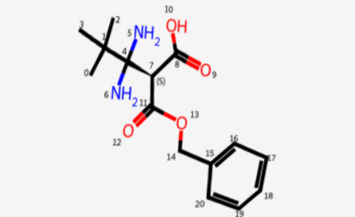 CC(C)(C)C(N)(N)[C@@H](C(=O)O)C(=O)OCc1ccccc1